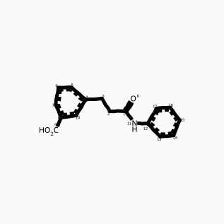 O=C(CCc1cccc(C(=O)O)c1)Nc1ccccc1